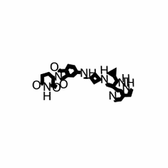 N=C(/C(=C\N[C@H]1C[C@H](CNc2ccc3c(c2)C(=O)N(C2CCC(=O)NC2=O)C3=O)C1)c1nccc2cc[nH]c12)C1CC1